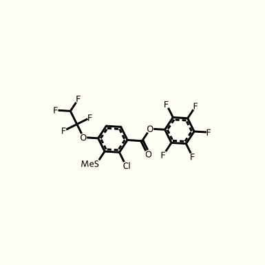 CSc1c(OC(F)(F)C(F)F)ccc(C(=O)Oc2c(F)c(F)c(F)c(F)c2F)c1Cl